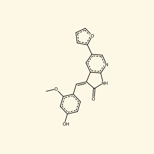 COc1cc(O)ccc1C=C1C(=O)Nc2ncc(-c3ccco3)cc21